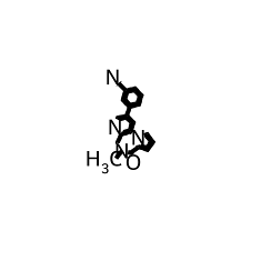 CN1Cc2ncc(-c3cccc(C#N)c3)cc2-n2cccc2C1=O